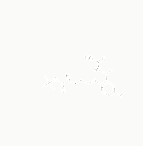 CC(NC(=O)O)c1cc(F)ccc1OCCCNC(=O)OC(C)(C)C